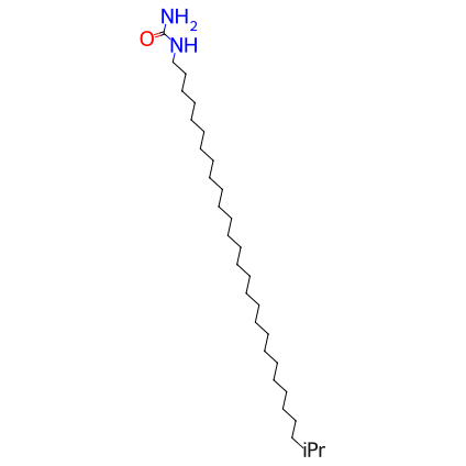 CC(C)CCCCCCCCCCCCCCCCCCCCCCCCCCCNC(N)=O